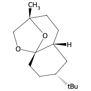 CC(C)(C)[C@@H]1CC[C@]23OC[C@](C)(CC[C@@H]2C1)O3